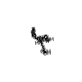 CSOON1CCN(Cc2cc3nc(-c4cccc5[nH]ncc45)nc(NCCCCCC(=O)NO)c3s2)CC1